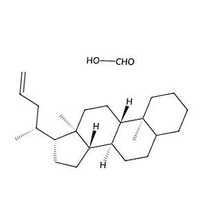 C=CC[C@@H](C)[C@H]1CC[C@H]2[C@@H]3CCC4CCCC[C@]4(C)[C@H]3CC[C@]12C.O=CO